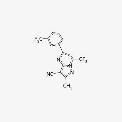 Cc1nn2c(C(F)(F)F)cc(-c3cccc(C(F)(F)F)c3)nc2c1C#N